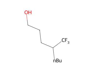 CCCCC(CCCO)C(F)(F)F